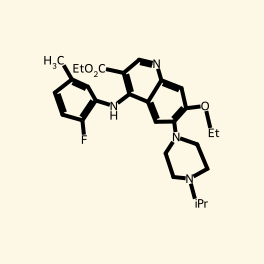 CCOC(=O)c1cnc2cc(OCC)c(N3CCN(C(C)C)CC3)cc2c1Nc1cc(C)ccc1F